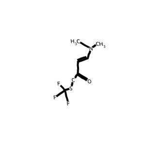 CN(C)C=CC(=O)CSC(F)(F)F